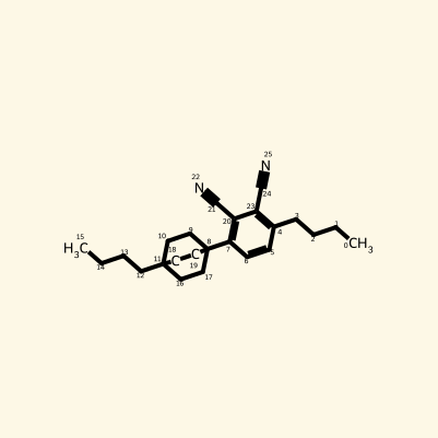 CCCCc1ccc(C23CCC(CCCC)(CC2)CC3)c(C#N)c1C#N